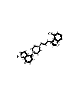 Clc1cccc2occ(CCCN3CCN(c4cccc5[nH]ccc45)CC3)c12